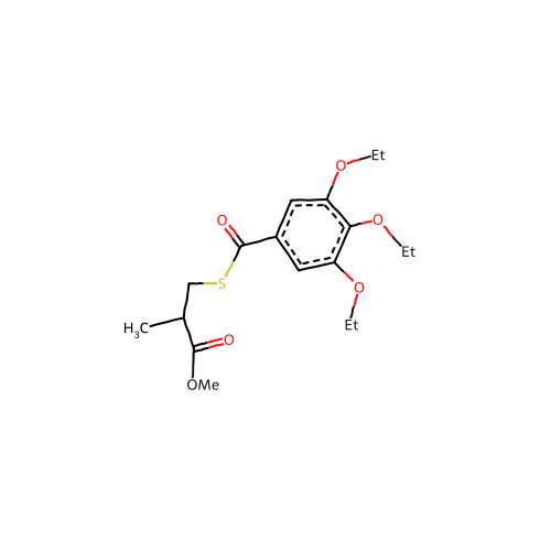 CCOc1cc(C(=O)SCC(C)C(=O)OC)cc(OCC)c1OCC